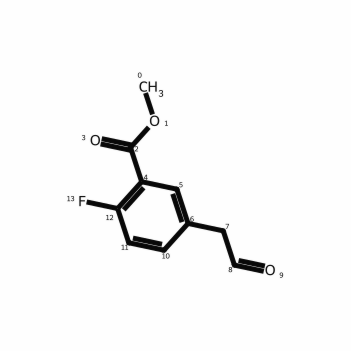 COC(=O)c1cc(CC=O)ccc1F